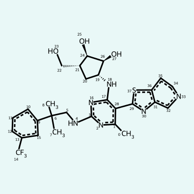 Cc1nc(NCC(C)(C)c2cccc(C(F)(F)F)c2)nc(N[C@@H]2C[C@H](CO)[C@@H](O)[C@H]2O)c1-c1nc2cnccc2s1